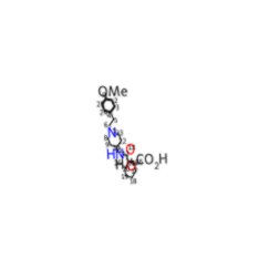 COc1ccc(CCN2CCC(NC(=O)C3C(C(=O)O)C4CC[C@@H]3O4)CC2)cc1